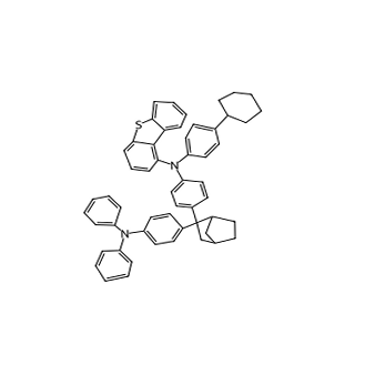 c1ccc(N(c2ccccc2)c2ccc(C3(c4ccc(N(c5ccc(C6CCCCC6)cc5)c5cccc6sc7ccccc7c56)cc4)CC4CCC3C4)cc2)cc1